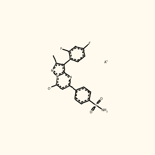 Cc1nn2c([O-])cc(-c3ccc(S(N)(=O)=O)cc3)nc2c1-c1ccc(F)cc1F.[K+]